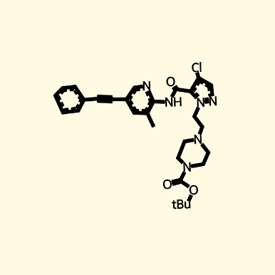 Cc1cc(C#Cc2ccccc2)cnc1NC(=O)c1c(Cl)cnn1CCN1CCN(C(=O)OC(C)(C)C)CC1